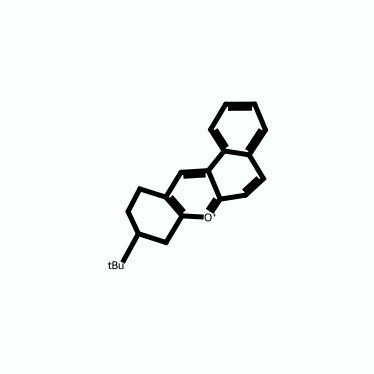 CC(C)(C)C1CCc2cc3c(ccc4ccccc43)[o+]c2C1